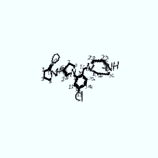 O=C1CCCN1[C@@H]1CCN(c2cc(Cl)ccc2CN2CCNCC2)C1